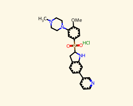 COc1ccc(S(=O)(=O)C2Cc3ccc(-c4cccnc4)cc3N2)cc1N1CCN(C)CC1.Cl